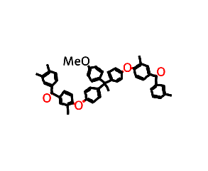 COc1ccc(C(C)(c2ccc(Oc3ccc(C(=O)c4cccc(C)c4)cc3C)cc2)c2ccc(Oc3ccc(C(=O)c4ccc(C)c(C)c4)cc3C)cc2)cc1